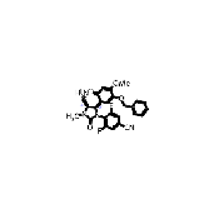 C=c1cc(OC)c(OCc2ccccc2)c/c1=c1/c(=C\N)n(C)c(=O)n1-c1c(F)cc(C#N)cc1F